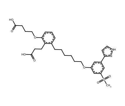 CS(=O)(=O)c1cc(OCCCCCCc2cccc(OCCCC(=O)O)c2CCC(=O)O)cc(-c2cc[nH]n2)c1